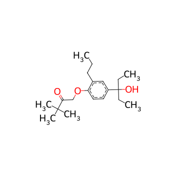 CCCc1cc(C(O)(CC)CC)ccc1OCC(=O)C(C)(C)C